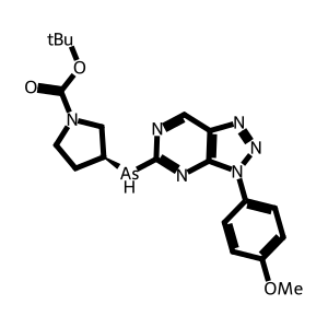 COc1ccc(-n2nnc3cnc([AsH][C@H]4CCN(C(=O)OC(C)(C)C)C4)nc32)cc1